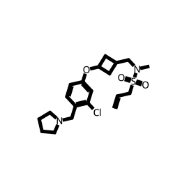 C=CCS(=O)(=O)N(C)CC1CC(Oc2ccc(CN3CCCC3)c(Cl)c2)C1